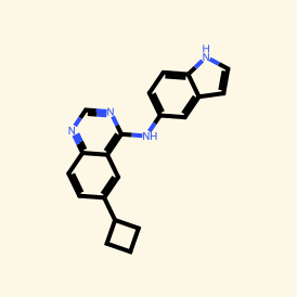 c1nc(Nc2ccc3[nH]ccc3c2)c2cc(C3CCC3)ccc2n1